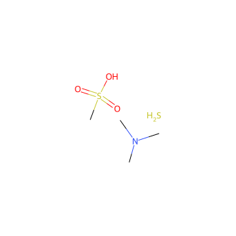 CN(C)C.CS(=O)(=O)O.S